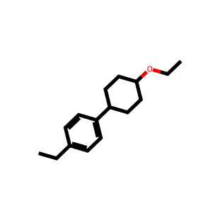 CCOC1CCC(c2ccc(CC)cc2)CC1